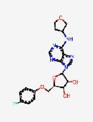 O[C@@H]1[C@H](O)[C@H](n2cnc3c(NC4CCOC4)ncnc32)O[C@@H]1COc1ccc(F)cc1